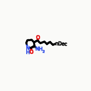 CCCCCCCCCCCCCCCC(=O)C1CCCNC(=O)[C@H]1N